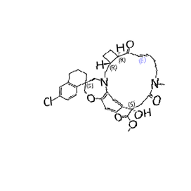 COC(=O)[C@]1(O)CC(=O)N(C)CC/C=C/C(=O)[C@@H]2CC[C@H]2CN2C[C@@]3(CCCc4cc(Cl)ccc43)COc3ccc1cc32